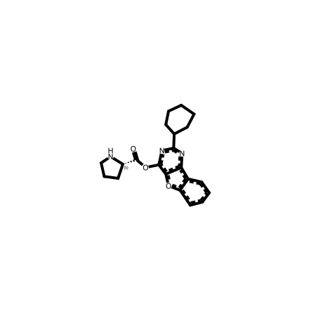 O=C(Oc1nc(C2CCCCC2)nc2c1oc1ccccc12)[C@@H]1CCCN1